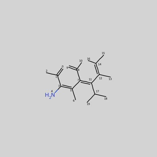 C=C(C)/C(N)=C(C)\C(C(=C)C)=C(\C(C)=C(C)C)C(C)C